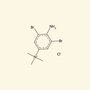 C[N+](C)(C)c1cc(Br)c(N)c(Br)c1.[Cl-]